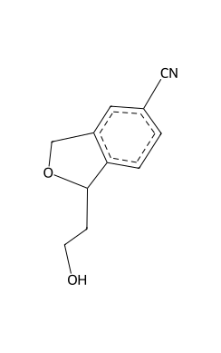 N#Cc1ccc2c(c1)COC2CCO